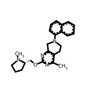 Cc1nc(OC[C@@H]2CCCN2C)nc2c1CCN(c1cccc3ccccc13)C2